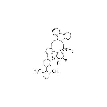 C=C1CC2c3ccccc3-c3cccc[n+]3C2CCc2ccc3c(oc4nc(-c5c(C)cccc5C)ccc43)c2-c2cc(F)c(F)c[n+]21